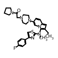 CCc1cc2ccc(N3CCN(CC(=O)N4CCCC4)CC3)cn2c1N(C)c1nc(-c2ccc(F)cc2)cs1